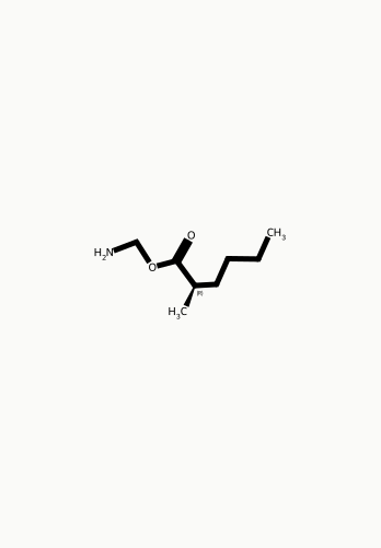 CCCC[C@@H](C)C(=O)OCN